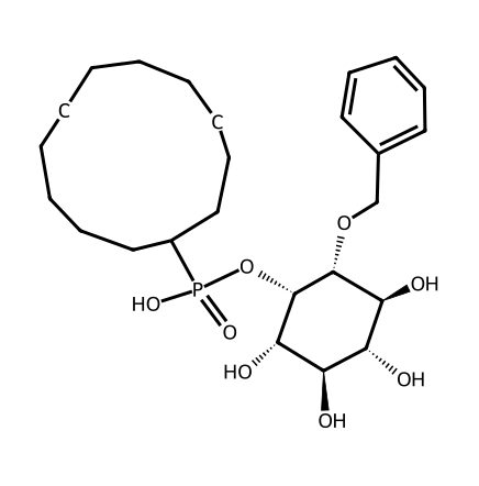 O=P(O)(O[C@H]1[C@@H](O)[C@H](O)[C@@H](O)[C@H](O)[C@H]1OCc1ccccc1)C1CCCCCCCCCCC1